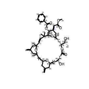 C=C1C[C@@H]2C[C@@H]3CC(=C)C[C@H](/C=C/C(C)(C)[C@]4(O)O[C@@H](C/C(=C\C(=O)OC)[C@@H]4OC(=O)c4ccccc4)C[C@H]([C@@H](C)O)OC(=O)C[C@H](O)C[C@H](C1)O2)O3